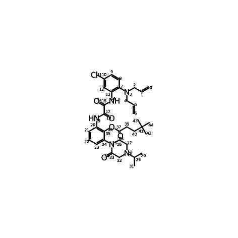 C=CCN(CC=C)c1ccc(Cl)cc1NC(=O)C(=O)Nc1cccc(N2CCN(C(C)C)CC2=O)c1OC(=O)CCC(C)(C)C